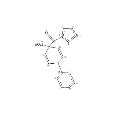 CCCCCCCCC1(C(=O)n2ccnc2)C=CC(c2ccccc2)C=C1